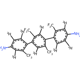 [2H]c1c([2H])c(-c2c([2H])c(C(F)(F)F)c(-c3c([2H])c([2H])c(N)c([2H])c3C(F)(F)F)c([2H])c2C(F)(F)F)c(C(F)(F)F)c([2H])c1N